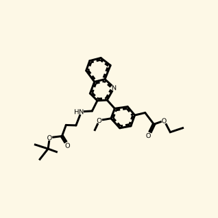 CCOC(=O)Cc1ccc(OC)c(-c2nc3ccccc3cc2CNCCC(=O)OC(C)(C)C)c1